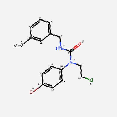 COc1cccc(CNC(=O)N(CCCl)c2ccc(Br)cc2)c1